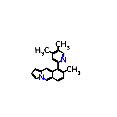 Cc1cnc(-c2c(C)ccc3cn4cccc4cc23)cc1C